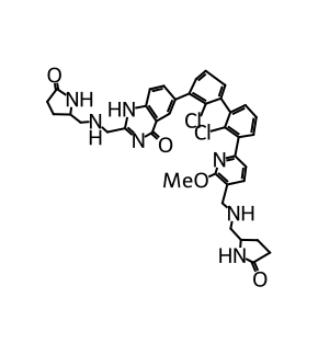 COc1nc(-c2cccc(-c3cccc(-c4ccc5[nH]c(CNCC6CCC(=O)N6)nc(=O)c5c4)c3Cl)c2Cl)ccc1CNCC1CCC(=O)N1